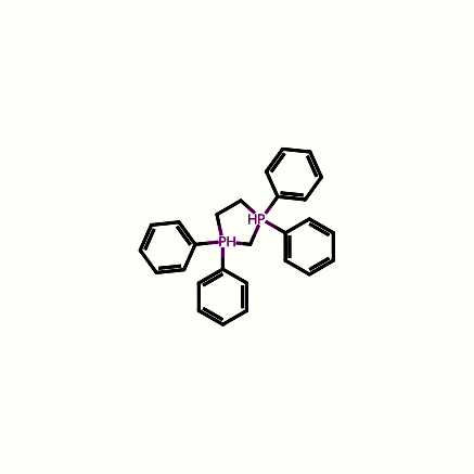 c1ccc([PH]2(c3ccccc3)CC[PH](c3ccccc3)(c3ccccc3)C2)cc1